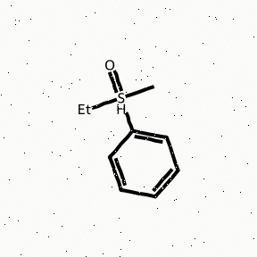 CC[SH](C)(=O)c1ccccc1